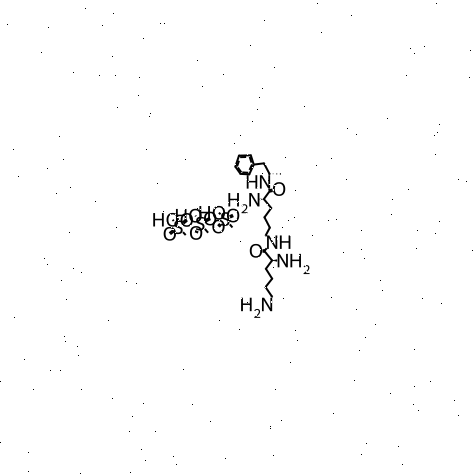 CS(=O)(=O)O.CS(=O)(=O)O.CS(=O)(=O)O.C[C@@H](Cc1ccccc1)NC(=O)[C@@H](N)CCCCNC(=O)[C@@H](N)CCCCN